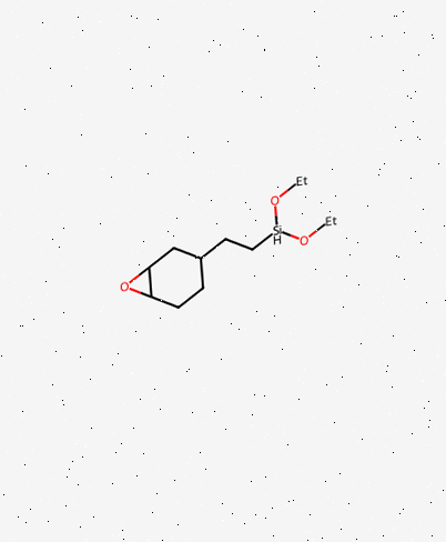 CCO[SiH](CCC1CCC2OC2C1)OCC